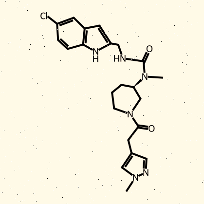 CN(C(=O)NCc1cc2cc(Cl)ccc2[nH]1)[C@@H]1CCCN(C(=O)Cc2cnn(C)c2)C1